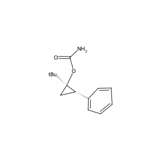 CC(C)(C)[C@@]1(OC(N)=O)C[C@H]1c1ccccc1